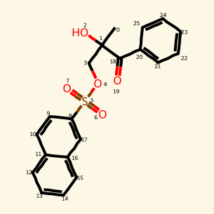 CC(O)(COS(=O)(=O)c1ccc2ccccc2c1)C(=O)c1ccccc1